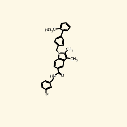 Cc1c(C)n(Cc2ccc(-c3ccccc3C(=O)O)cc2)c2ccc(C(=O)NCc3cccc(C(C)C)c3)cc12